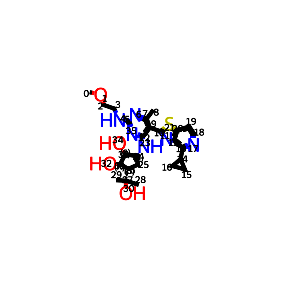 COCCNc1nc(C)c(-c2nc3c(C4CC4)nccc3s2)c(N[C@@H]2C[C@H](C(C)(C)O)[C@@H](O)[C@H]2O)n1